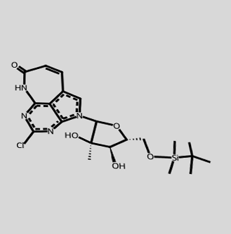 CC(C)(C)[Si](C)(C)OC[C@H]1OC(n2cc3c4c(nc(Cl)nc42)NC(=O)C=C3)[C@](C)(O)[C@@H]1O